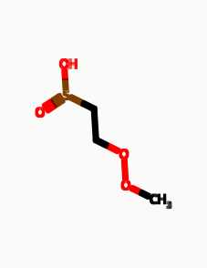 COOCCS(=O)O